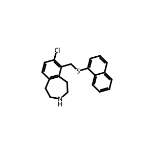 Clc1ccc2c(c1CSc1cccc3ccccc13)CCNCC2